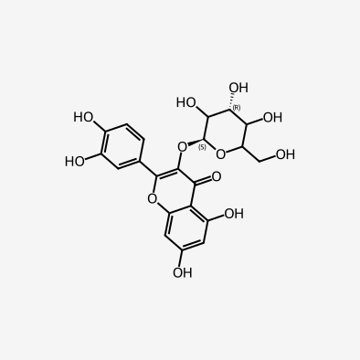 O=c1c(O[C@@H]2OC(CO)C(O)[C@@H](O)C2O)c(-c2ccc(O)c(O)c2)oc2cc(O)cc(O)c12